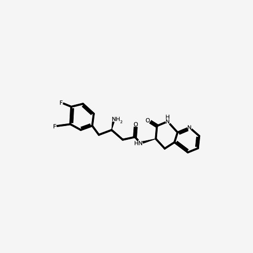 N[C@@H](CC(=O)N[C@@H]1Cc2cccnc2NC1=O)Cc1ccc(F)c(F)c1